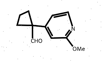 COc1cc(C2(C=O)CCC2)ccn1